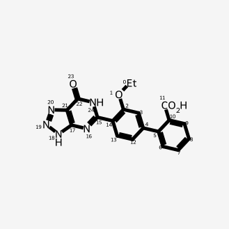 CCOc1cc(-c2ccccc2C(=O)O)ccc1-c1nc2[nH]nnc2c(=O)[nH]1